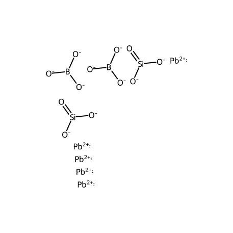 O=[Si]([O-])[O-].O=[Si]([O-])[O-].[O-]B([O-])[O-].[O-]B([O-])[O-].[Pb+2].[Pb+2].[Pb+2].[Pb+2].[Pb+2]